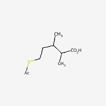 CC(=O)SCCC(C)C(C)C(=O)O